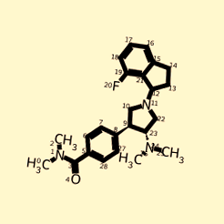 CN(C)C(=O)c1ccc([C@H]2CN(C3CCc4cccc(F)c43)C[C@@H]2N(C)C)cc1